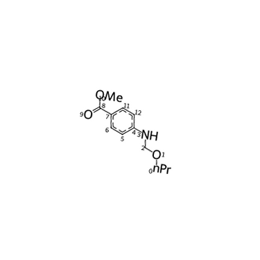 CCCOCNc1ccc(C(=O)OC)cc1